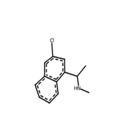 CNC(C)c1cc(Cl)cc2ccccc12